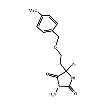 COc1ccc(COCCC2(C(C)C)NC(=O)N(N)C2=O)cc1